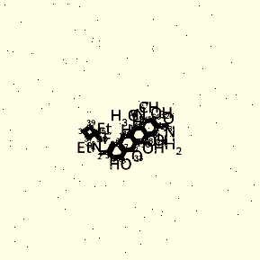 CCN(Cc1cc(O)c2c(c1F)C[C@H]1C[C@H]3[C@H](N(C)C)C(O)=C(C(N)=O)C(=O)[C@@]3(O)C(O)=C1C2=O)CC1(CC)CCC1